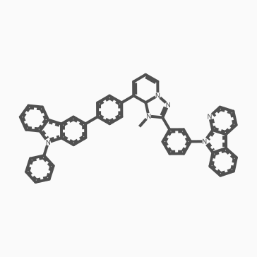 CN1C(c2cccc(-n3c4ccccc4c4cccnc43)c2)=NN2C=CC=C(c3ccc(-c4ccc5c(c4)c4ccccc4n5-c4ccccc4)cc3)C21